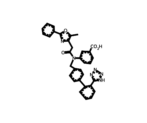 Cc1oc(-c2ccccc2)nc1CC(=O)N(Cc1ccc(-c2ccccc2-c2nnn[nH]2)cc1)c1cccc(C(=O)O)c1